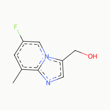 Cc1cc(F)cn2c(CO)cnc12